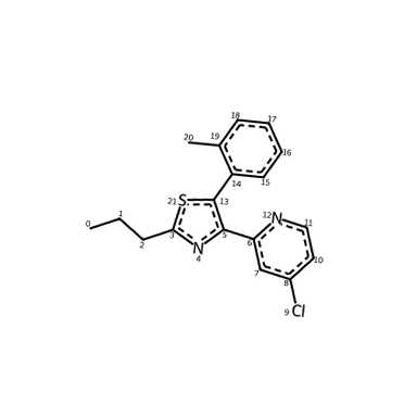 CCCc1nc(-c2cc(Cl)ccn2)c(-c2ccccc2C)s1